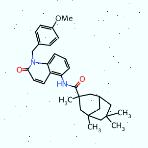 COc1ccc(Cn2c(=O)ccc3c(NC(=O)C4(C)CC5CC(C)(C)CC(C)(C5)C4)cccc32)cc1